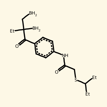 BCC(B)(CC)C(=O)c1ccc(NC(=O)CSC(CC)CC)cc1